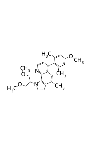 COCC(COC)n1ccc2c(C)cc3c(-c4c(C)cc(OC)cc4C)ccnc3c21